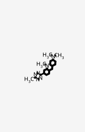 Cc1nnc(-c2ccc3cc4ccc(N(C)C)cc4[n+](C)c3c2)nn1